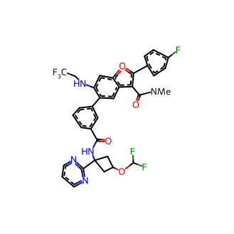 CNC(=O)c1c(-c2ccc(F)cc2)oc2cc(NCC(F)(F)F)c(-c3cccc(C(=O)NC4(c5ncccn5)CC(OC(F)F)C4)c3)cc12